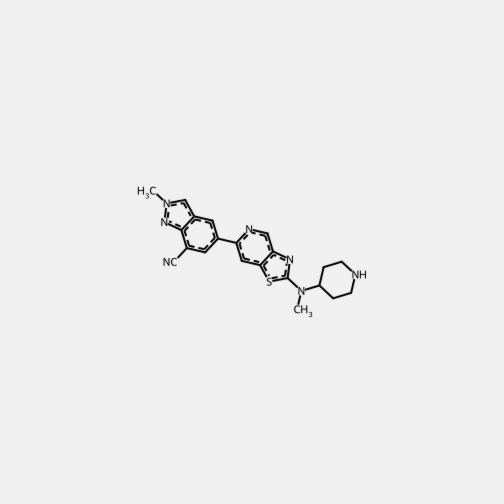 CN(c1nc2cnc(-c3cc(C#N)c4nn(C)cc4c3)cc2s1)C1CCNCC1